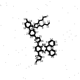 CCCCCC[Si]1(CCCCCC)c2cc(C)ccc2-c2ccc(-c3ccc(-c4ccc(-c5ccc(C)s5)c5nc(-c6ccccc6)c(-c6ccccc6)nc45)s3)cc21